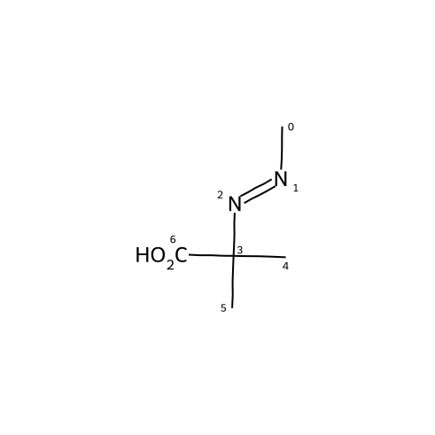 CN=NC(C)(C)C(=O)O